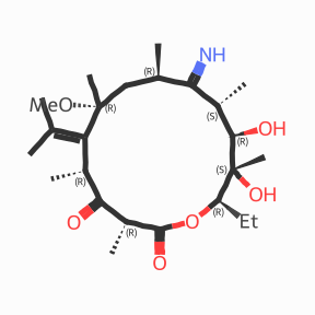 CC[C@H]1OC(=O)[C@H](C)C(=O)[C@H](C)C(=C(C)C)[C@](C)(OC)C[C@@H](C)C(=N)[C@H](C)[C@@H](O)[C@]1(C)O